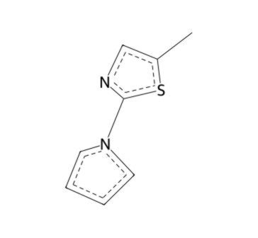 Cc1cnc(-n2cccc2)s1